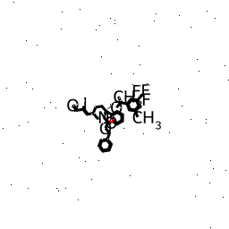 Cc1cc(C(C)OC[C@@]2(c3ccccc3)CCC(/C=C(\I)C=O)CN2C(=O)OCc2ccccc2)cc(C(F)(F)F)c1